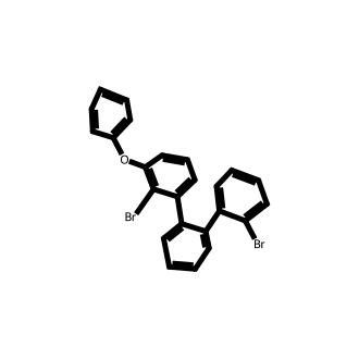 Brc1ccccc1-c1ccccc1-c1cccc(Oc2ccccc2)c1Br